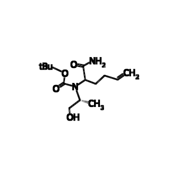 C=CCCC(C(N)=O)N(C(=O)OC(C)(C)C)[C@H](C)CO